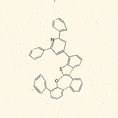 c1ccc(-c2cc(-c3cccc4c5c(sc34)Oc3c(-c4ccccc4)cccc3-c3ccccc3-5)cc(-c3ccccc3)n2)cc1